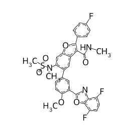 CNC(=O)c1c(-c2ccc(F)cc2)oc2cc(N(C)S(C)(=O)=O)c(-c3ccc(OC)c(-c4nc5c(F)ccc(F)c5o4)c3)cc12